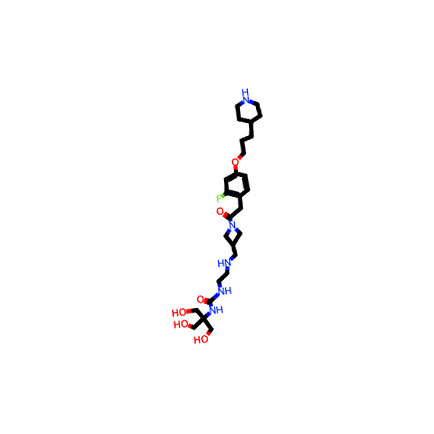 O=C(NCCNCC1CN(C(=O)Cc2ccc(OCCCC3CCNCC3)cc2F)C1)NC(CO)(CO)CO